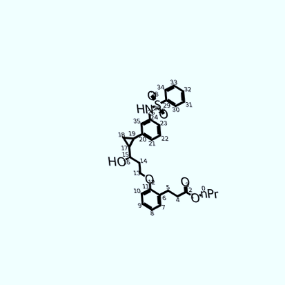 CCCOC(=O)CCc1ccccc1OCC[C@@H](O)C1CC1c1cccc(NS(=O)(=O)c2ccccc2)c1